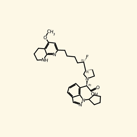 COc1cc(CCCC[C@H](F)[C@@H]2CCN([C@@H](C(=O)O)c3cccc4cnn(C5CCCC5)c34)C2)nc2c1CCCN2